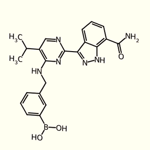 CC(C)c1cnc(-c2n[nH]c3c(C(N)=O)cccc23)nc1NCc1cccc(B(O)O)c1